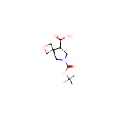 CC(C)(C)OC(=O)N1CC(C(=O)O)C2(COC2)C1